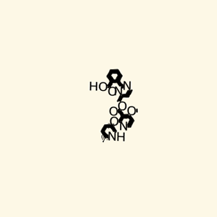 COc1ccnc(O[C@@H]2CC[C@@H](C)NC2)c1C(=O)OCc1ccnc(-c2ccccc2C(=O)O)n1